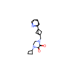 O=C1C(=O)N(C2CCC2)CCN1CC12CC(c3ccccn3)(C1)C2